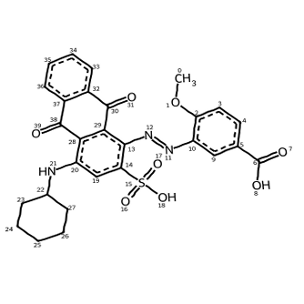 COc1ccc(C(=O)O)cc1/N=N/c1c(S(=O)(=O)O)cc(NC2CCCCC2)c2c1C(=O)c1ccccc1C2=O